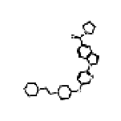 O=C(c1ccc2c(ccn2-c2ccc(OC3CCN(CCN4CCOCC4)CC3)cn2)c1)N1CCCC1